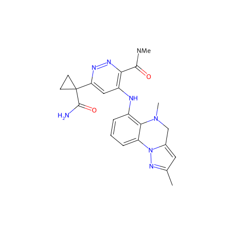 CNC(=O)c1nnc(C2(C(N)=O)CC2)cc1Nc1cccc2c1N(C)Cc1cc(C)nn1-2